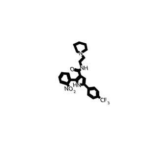 O=C(NCCN1CCCCC1)c1cc(-c2ccc(C(F)(F)F)cc2)[nH]c1-c1ccccc1[N+](=O)[O-]